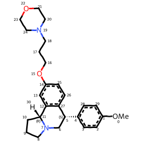 COc1ccc([C@@H]2CN3CCC[C@@H]3c3cc(OCCCN4CCOCC4)ccc32)cc1